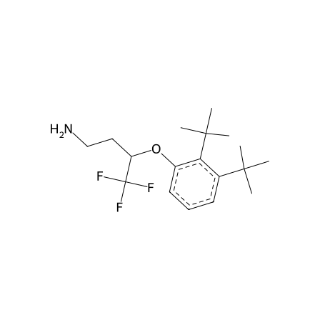 CC(C)(C)c1cccc(OC(CCN)C(F)(F)F)c1C(C)(C)C